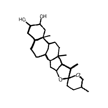 CC1CCC2(OC1)OC1CC3C4CCC5CC(O)C(O)CC5(C)C4CCC3(C)C1C2C